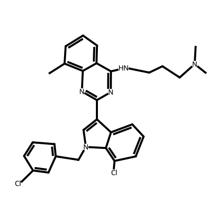 Cc1cccc2c(NCCCN(C)C)nc(-c3cn(Cc4cccc(Cl)c4)c4c(Cl)cccc34)nc12